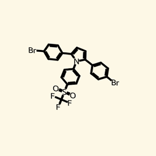 O=S(=O)(c1ccc(-n2c(-c3ccc(Br)cc3)ccc2-c2ccc(Br)cc2)cc1)C(F)(F)F